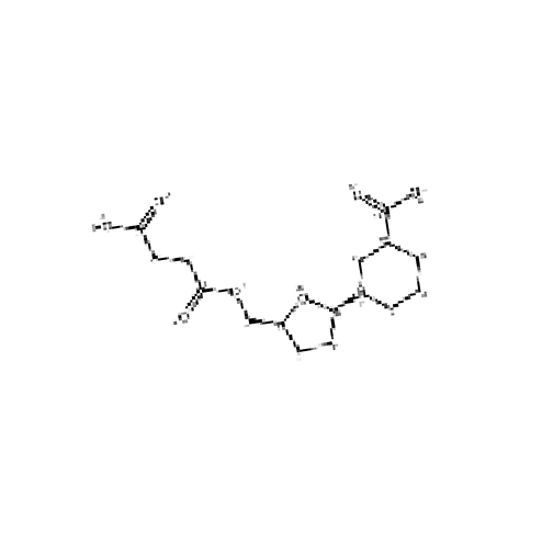 O=C(O)CCC(=O)OC[C@@H]1CC[C@H](N2CCCC(C(=O)O)C2)O1